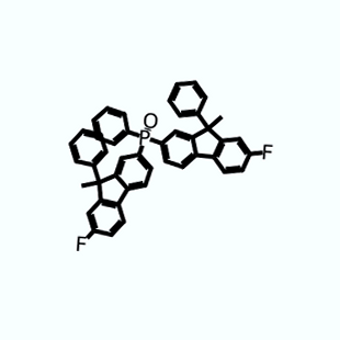 CC1(c2ccccc2)c2cc(F)ccc2-c2ccc(P(=O)(c3ccccc3)c3ccc4c(c3)C(C)(c3ccccc3)c3cc(F)ccc3-4)cc21